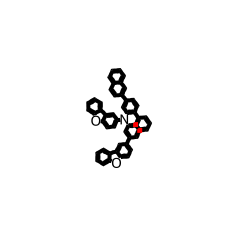 c1ccc(-c2ccc(-c3ccc4ccccc4c3)cc2N(c2cccc(-c3ccc4oc5ccccc5c4c3)c2)c2ccc3oc4ccccc4c3c2)cc1